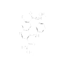 CNC(=O)c1cc2c(Nc3ccccc3)c(C(=O)NC)cnc2cc1F